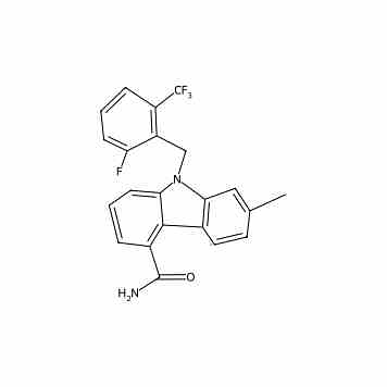 Cc1c[c]c2c3c(C(N)=O)cccc3n(Cc3c(F)cccc3C(F)(F)F)c2c1